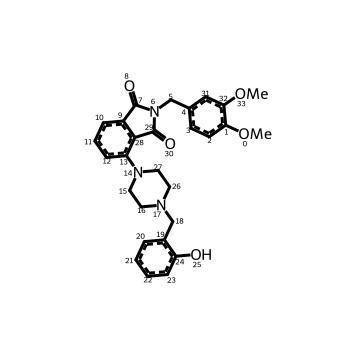 COc1ccc(CN2C(=O)c3cccc(N4CCN(Cc5ccccc5O)CC4)c3C2=O)cc1OC